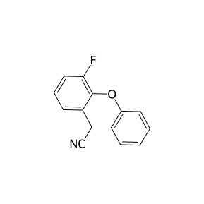 N#CCc1cccc(F)c1Oc1ccccc1